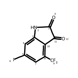 O=C1Nc2cc(I)cc(C(F)(F)F)c2C1=O